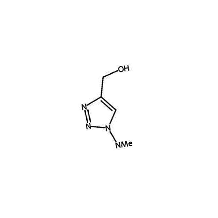 CNn1cc(CO)nn1